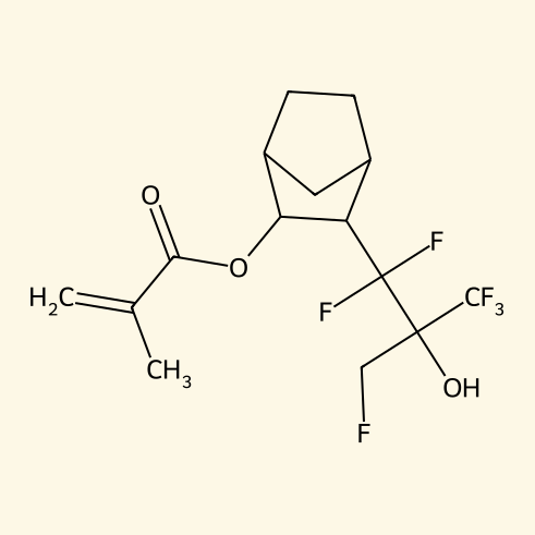 C=C(C)C(=O)OC1C2CCC(C2)C1C(F)(F)C(O)(CF)C(F)(F)F